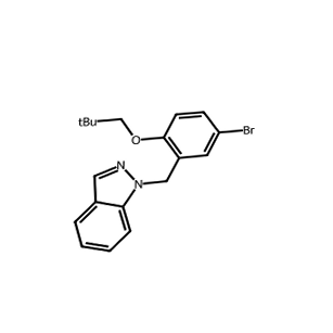 CC(C)(C)COc1ccc(Br)cc1Cn1ncc2ccccc21